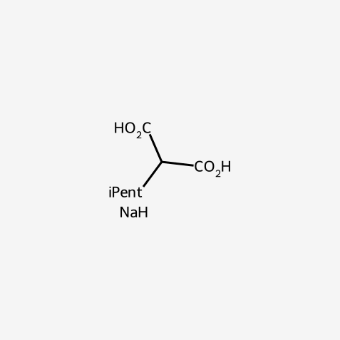 CCCC(C)C(C(=O)O)C(=O)O.[NaH]